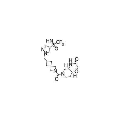 N=S(=O)(c1cnn(CC2CC3(C2)CN(C(=O)N2CC[C@@H]4OCC(=O)N[C@@H]4C2)C3)c1)C(F)(F)F